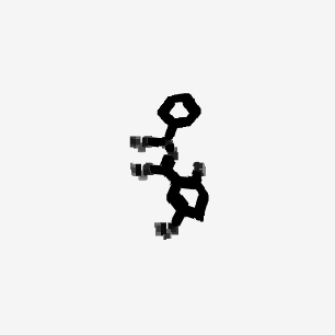 C/C(=N\N(C)c1ccccc1)c1cc(N)ccc1Cl